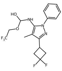 Cc1c(C2CC(F)(F)C2)nn(-c2ccccc2)c1NC(O)OCC(F)(F)F